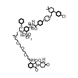 CN(CCOCCOCCOCCNc1cccc2c1C(=O)N(C1CCC(=O)NC1=O)C2=O)CC[C@H](CSc1ccccc1)Nc1ccc(S(=O)(=O)NC(=O)c2ccc(N3CCN(CC4=C(c5ccc(Cl)cc5)CCC(C)(C)C4)CC3)cc2)cc1S(=O)(=O)C(F)(F)F